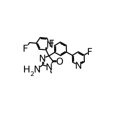 CN1C(=O)C(c2cc(CF)ccn2)(c2cc(-c3cncc(F)c3)ccc2F)N=C1N